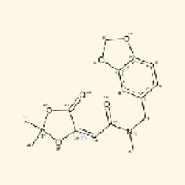 CN(Cc1ccc2c(c1)OCO2)C(=O)/C=C1/OC(C)(C)OC1=O